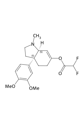 COc1ccc([C@@]23CCC(OC(=O)C(F)F)=C[C@@H]2N(C)CC3)cc1OC